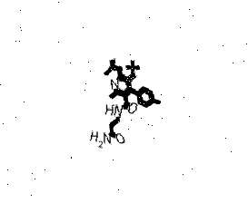 Cc1ccc(-c2c([CH]C(C)(C)C)c(CC(C)C)nc(C)c2C(=O)NCCC(N)=O)cc1